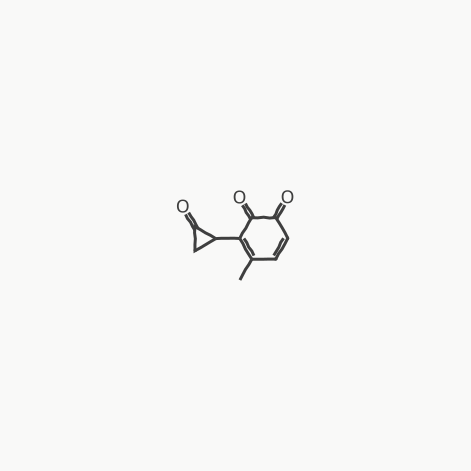 CC1=C(C2CC2=O)C(=O)C(=O)C=C1